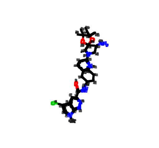 CCn1cc(Cl)c2cc(C(=O)NC3CCc4nc(N5CC(N)C6(C5)OC(C)(C)C(C)(C)O6)ccc4C3)nnc21